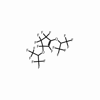 FC1=C(OC(C(F)(F)F)C(F)(F)F)C(F)(F)C(F)(F)C1(F)OC(C(F)(F)F)C(F)(F)F